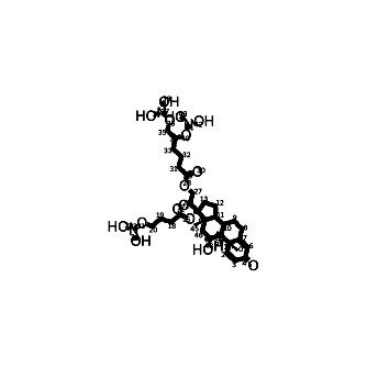 C[C@]12C=CC(=O)C=C1CCC1C3CC[C@](OC(=O)CCCON(O)O)(C(=O)COC(=O)CCCC(CON(O)O)ON(O)O)[C@@]3(C)C[C@H](O)[C@@H]12